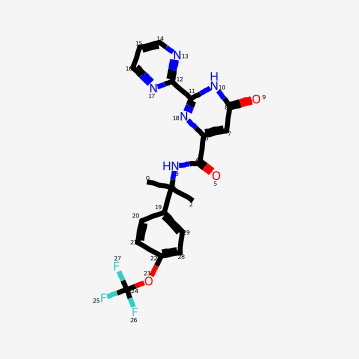 CC(C)(NC(=O)c1cc(=O)[nH]c(-c2ncccn2)n1)c1ccc(OC(F)(F)F)cc1